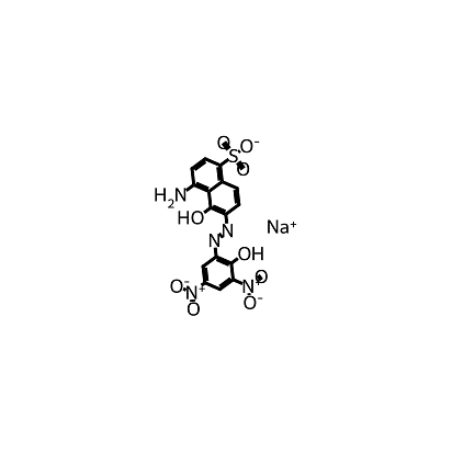 Nc1ccc(S(=O)(=O)[O-])c2ccc(N=Nc3cc([N+](=O)[O-])cc([N+](=O)[O-])c3O)c(O)c12.[Na+]